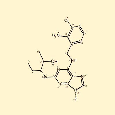 CCC(Nc1nc(NCc2cccc(Cl)c2N)c2ncn(C)c2n1)C(C)O